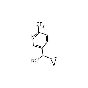 N#CC(c1ccc(C(F)(F)F)nc1)C1CC1